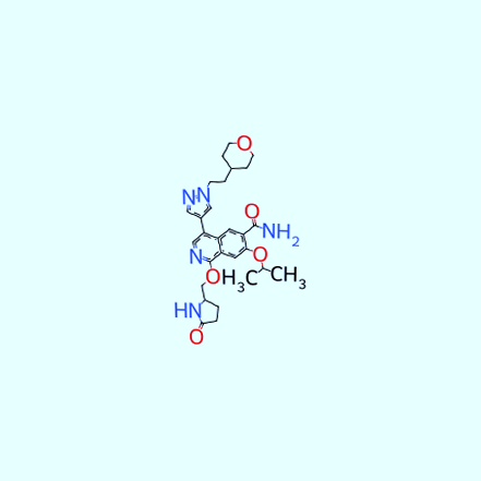 CC(C)Oc1cc2c(OCC3CCC(=O)N3)ncc(-c3cnn(CCC4CCOCC4)c3)c2cc1C(N)=O